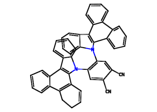 N#Cc1cc(-n2c3ccccc3c3c4ccccc4c4c(c32)C=CCC4)c(-n2c3ccccc3c3c4ccccc4c4ccccc4c32)cc1C#N